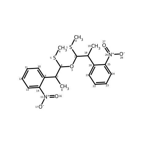 CSC(OC(SC)C(C)c1ccccc1[N+](=O)[O-])C(C)c1ccccc1[N+](=O)[O-]